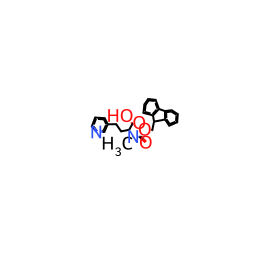 CN(C(=O)OCC1c2ccccc2-c2ccccc21)C(CCc1cccnc1)C(=O)O